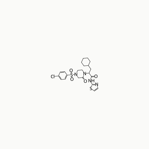 O=C(Nc1nccs1)C(CC1CCCCC1)N1CCN(S(=O)(=O)c2ccc(Cl)cc2)CC1=O